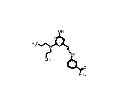 CCCN(CCC)c1nc(O)cc(/C=N/Nc2cccc(C(N)=O)c2)n1